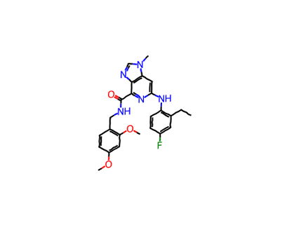 CCc1cc(F)ccc1Nc1cc2c(ncn2C)c(C(=O)NCc2ccc(OC)cc2OC)n1